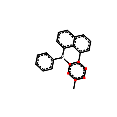 Cc1ccc(-c2cccc3cccc(P(c4ccccc4)c4ccccc4)c23)cc1